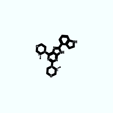 C[C@@H]1COCCN1c1nc(N2CCOC[C@H]2C)c2nc(-c3cccc4c3CCN4)[nH]c2n1